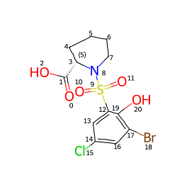 O=C(O)[C@@H]1CCCCN1S(=O)(=O)c1cc(Cl)cc(Br)c1O